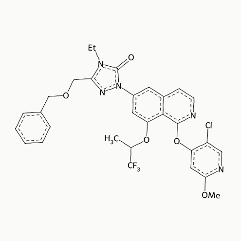 CCn1c(COCc2ccccc2)nn(-c2cc(OC(C)C(F)(F)F)c3c(Oc4cc(OC)ncc4Cl)nccc3c2)c1=O